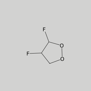 FC1COOC1F